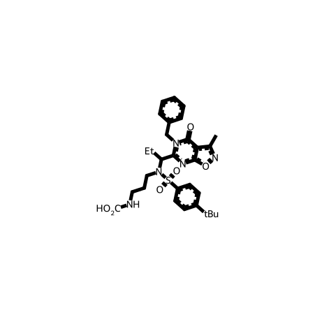 CCC(c1nc2onc(C)c2c(=O)n1Cc1ccccc1)N(CCCNC(=O)O)S(=O)(=O)c1ccc(C(C)(C)C)cc1